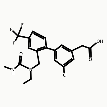 CCN(Cc1cc(C(F)(F)F)ccc1-c1cc(Cl)cc(CC(=O)O)c1)C(=O)NC